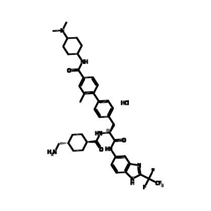 Cc1cc(C(=O)NC2CCC(N(C)C)CC2)ccc1-c1ccc(C[C@H](NC(=O)[C@H]2CC[C@H](CN)CC2)C(=O)Nc2ccc3[nH]c(C(F)(F)C(F)(F)F)nc3c2)cc1.Cl